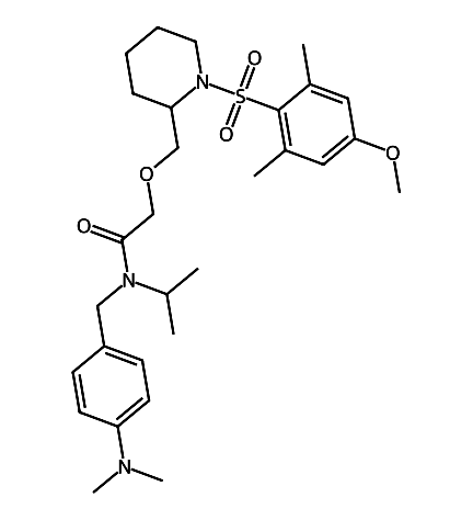 COc1cc(C)c(S(=O)(=O)N2CCCCC2COCC(=O)N(Cc2ccc(N(C)C)cc2)C(C)C)c(C)c1